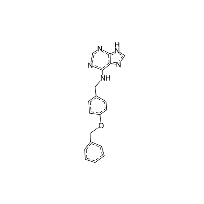 c1ccc(COc2ccc(CNc3ncnc4[nH]cnc34)cc2)cc1